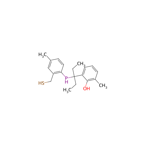 CCC(CC)(Pc1ccc(C)cc1CS)c1cccc(C)c1O